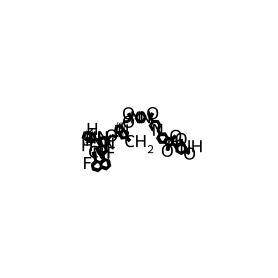 C#Cc1c(F)ccc2cccc(-c3ncc4c(N5C[C@H]6CC[C@@H](C5)N6)nc(OC[C@@]56CC[C@@H](COC(=O)N7CCN(C(=O)C8CCN(c9ccc%10c(c9)C(=O)N(C9CCC(=O)NC9=O)C%10=O)CC8)CC7)N5CC(=C)C6)nc4c3F)c12